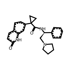 O=C(N[C@H](CN1CCCC1)c1ccccc1)C1(c2ccc3ccc(=O)[nH]c3c2)CC1